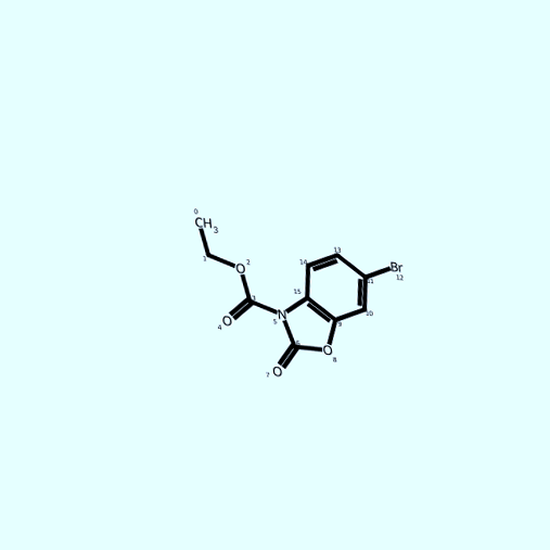 CCOC(=O)n1c(=O)oc2cc(Br)ccc21